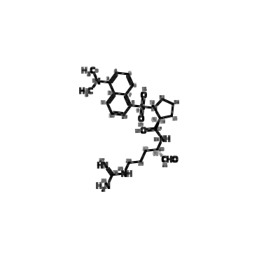 CN(C)c1cccc2c(S(=O)(=O)N3CCC[C@H]3C(=O)N[C@H](C=O)CCCNC(=N)N)cccc12